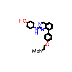 CNCCOc1ccc(-c2cccc3cnc(N[C@H]4CC[C@H](O)CC4)nc23)cc1